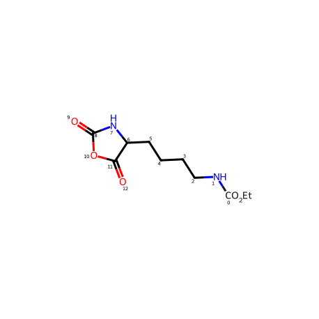 CCOC(=O)NCCCCC1NC(=O)OC1=O